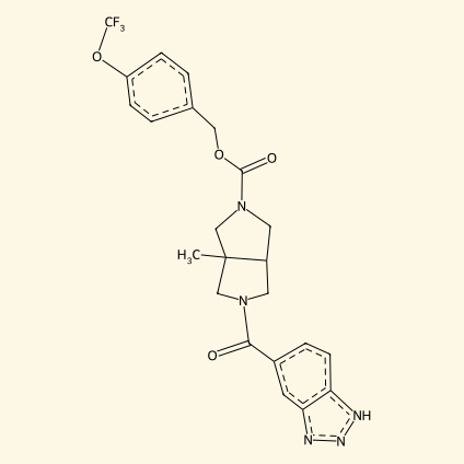 CC12CN(C(=O)OCc3ccc(OC(F)(F)F)cc3)CC1CN(C(=O)c1ccc3[nH]nnc3c1)C2